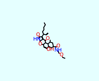 C=CC(CCCCC)C1=C(C(=O)C2C(C)C=CC3(O)CC(C(=O)NCCOCC)CC(C)C23)C(=O)NC1=O